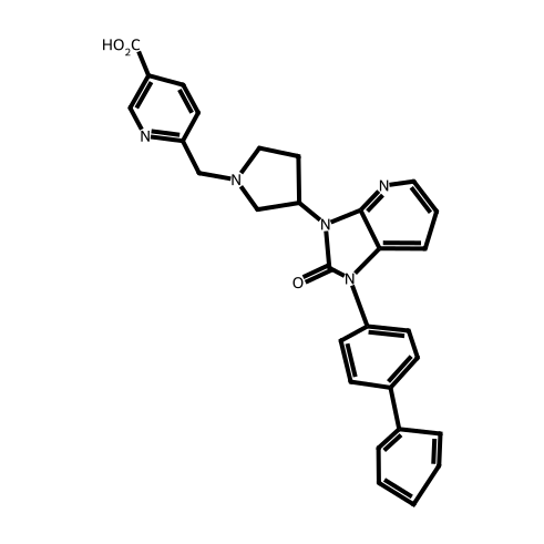 O=C(O)c1ccc(CN2CCC(n3c(=O)n(-c4ccc(-c5ccccc5)cc4)c4cccnc43)C2)nc1